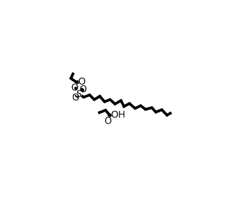 CCC(=O)O.CCCCCCCCCCCCCCCCCCS(=O)(=O)OC(=O)CC